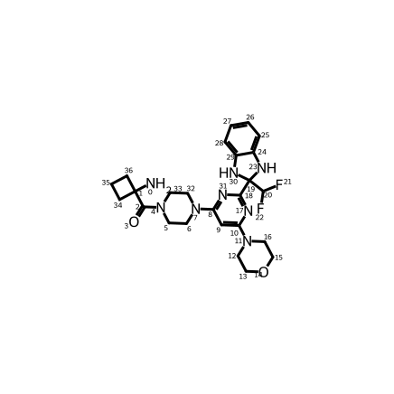 NC1(C(=O)N2CCN(c3cc(N4CCOCC4)nc(C4(C(F)F)Nc5ccccc5N4)n3)CC2)CCC1